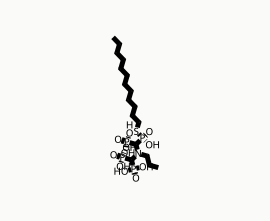 CCCCCCCCCCCCSP(=O)(O)C(N(CCC)C(P(=O)(O)O)P(=O)(O)O)P(=O)(O)O